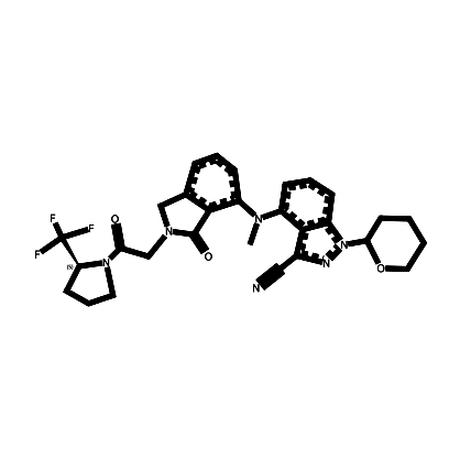 CN(c1cccc2c1C(=O)N(CC(=O)N1CCC[C@H]1C(F)(F)F)C2)c1cccc2c1c(C#N)nn2C1CCCCO1